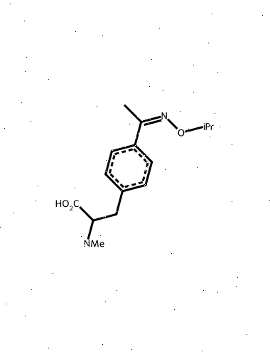 CNC(Cc1ccc(/C(C)=N\OC(C)C)cc1)C(=O)O